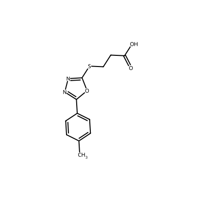 Cc1ccc(-c2nnc(SCCC(=O)O)o2)cc1